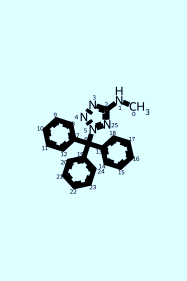 CNc1nnn(C(c2ccccc2)(c2ccccc2)c2ccccc2)n1